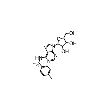 Cc1ccc([C@H](C)Nc2ncnc3c2ncn3C2OC(CO)C(O)C2O)cc1